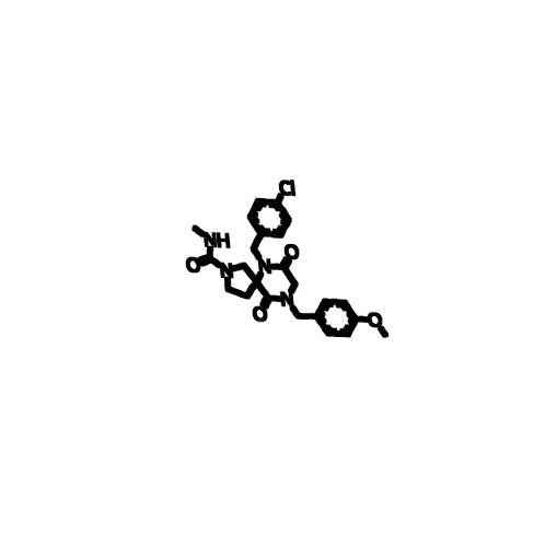 CNC(=O)N1CCC2(C1)C(=O)N(Cc1ccc(OC)cc1)CC(=O)N2Cc1ccc(Cl)cc1